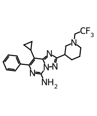 Nc1nc(-c2ccccc2)c(C2CC2)c2nc(C3CCCN(CC(F)(F)F)C3)nn12